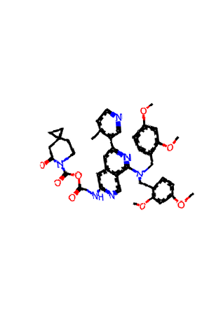 COc1ccc(CN(Cc2ccc(OC)cc2OC)c2nc(-c3cnccc3C)cc3cc(NC(=O)OC(=O)N4CCC5(CC5)CC4=O)ncc23)c(OC)c1